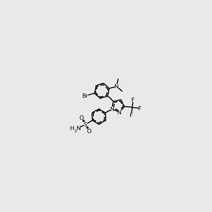 CN(C)c1ccc(Br)cc1-c1cc(C(F)(F)F)nn1-c1ccc(S(N)(=O)=O)cc1